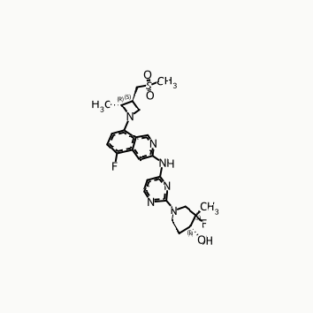 C[C@@H]1[C@@H](CS(C)(=O)=O)CN1c1ccc(F)c2cc(Nc3ccnc(N4CC[C@@H](O)[C@@](C)(F)C4)n3)ncc12